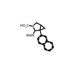 CNC1N(C(=O)O)CC2CC21c1ccc2ccccc2c1